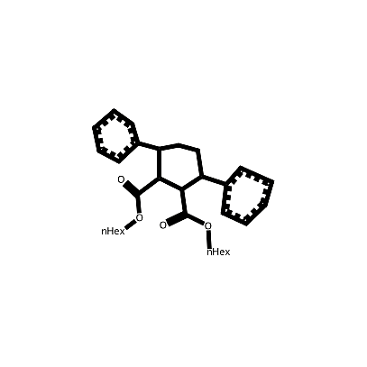 CCCCCCOC(=O)C1C(c2ccccc2)CCC(c2ccccc2)C1C(=O)OCCCCCC